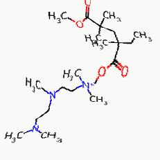 CCC(C)(CC(C)(C)C(=O)OC)C(=O)OC[N+](C)(C)CCN(C)CCN(C)C